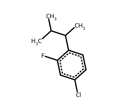 CC(C)C(C)c1ccc(Cl)cc1F